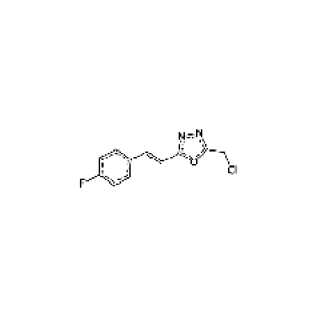 Fc1ccc(/C=C/c2nnc(CCl)o2)cc1